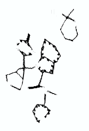 CN(C(=O)c1cc2cc([C@H]3CCOC(C)(C)C3)ccc2n1C1(c2noc(=O)[nH]2)C2COCC21)c1ccccc1